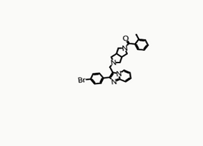 Cc1ccccc1C(=O)N1CC2CN(Cc3c(-c4ccc(Br)cc4)nc4ccccn34)CC2C1